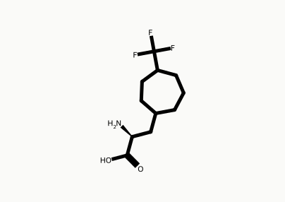 N[C@@H](CC1CCCC(C(F)(F)F)CC1)C(=O)O